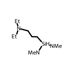 CCN(CC)CCC[SiH](NC)NC